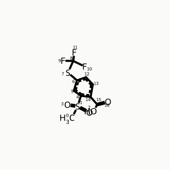 CS(=O)(=O)c1cc(SC(F)(F)F)ccc1C(=O)O